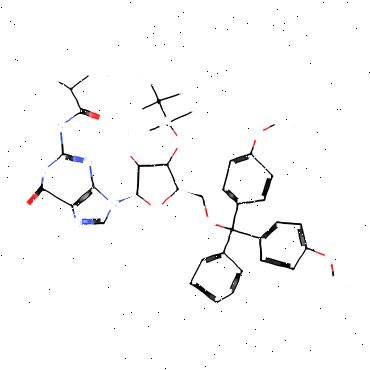 COc1ccc(C(OC[C@H]2O[C@@H](n3cnc4c(=O)[nH]c(NC(=O)C(C)C)nc43)C(O)C2O[Si](C)(C)C(C)(C)C)(c2ccccc2)c2ccc(OC)cc2)cc1